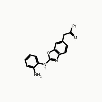 CC(C)C(=O)Cc1ccc2nc(Nc3ccccc3N)oc2c1